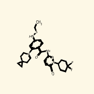 CCSNc1ccc(C(=O)Nc2ccc(=O)n(C3CCC(F)(F)CC3)n2)c(N2CCC3(CC2)CC3)c1